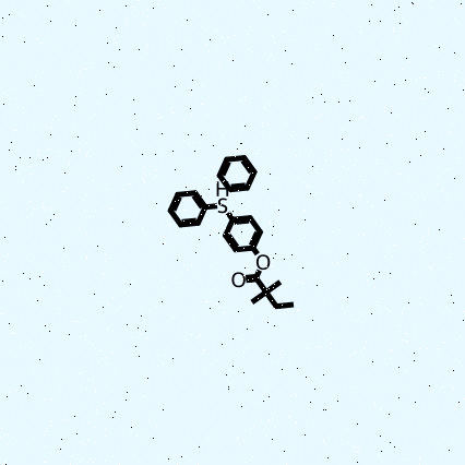 CCC(C)(C)C(=O)Oc1ccc([SH](c2ccccc2)c2ccccc2)cc1